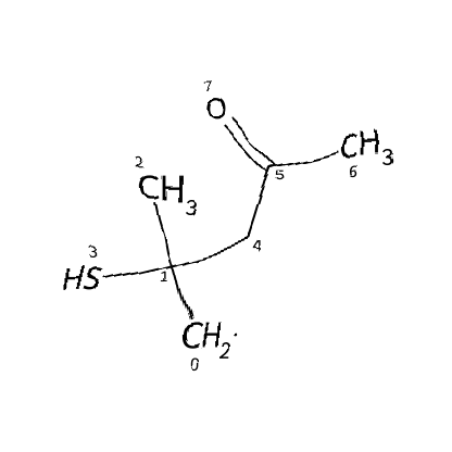 [CH2]C(C)(S)CC(C)=O